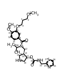 COCCCOc1cc(C(=O)N(C[C@@H]2CNC[C@H]2OC(=O)NCc2nccs2)C(C)C)ccc1OC